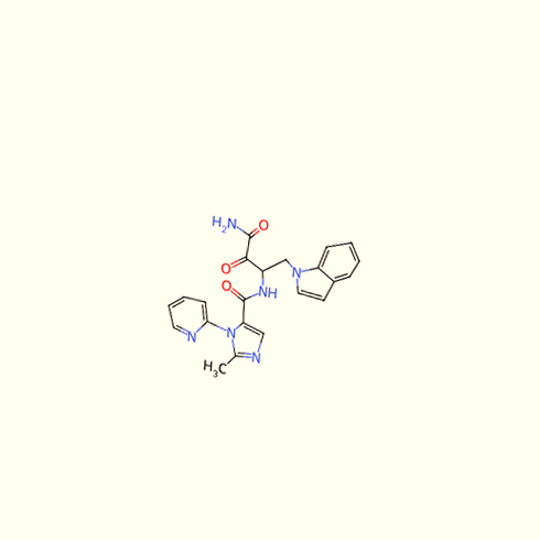 Cc1ncc(C(=O)NC(Cn2ccc3ccccc32)C(=O)C(N)=O)n1-c1ccccn1